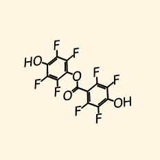 O=C(Oc1c(F)c(F)c(O)c(F)c1F)c1c(F)c(F)c(O)c(F)c1F